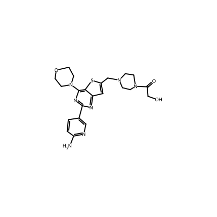 Nc1ccc(-c2nc(N3CCOCC3)c3sc(CN4CCN(C(=O)CO)CC4)cc3n2)cn1